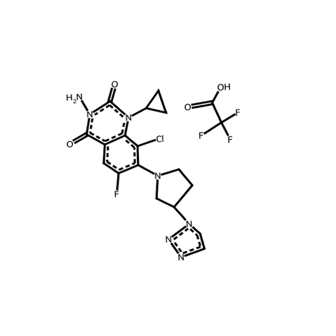 Nn1c(=O)c2cc(F)c(N3CCC(n4ccnn4)C3)c(Cl)c2n(C2CC2)c1=O.O=C(O)C(F)(F)F